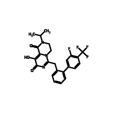 CC(C)N1CCn2c(Cc3ccccc3-c3ccc(C(F)(F)F)c(F)c3)nc(=O)c(O)c2C1=O